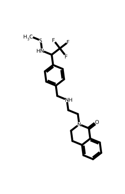 CSNC(c1ccc(CNCCN2CCc3ccccc3C2=O)cc1)C(F)(F)F